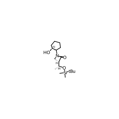 C[C@@H](O[Si](C)(C)C(C)(C)C)[C@@H]1CN([C]2CCCC[C@@H]2O)C1=O